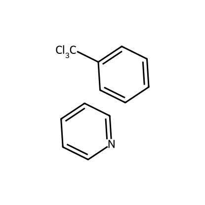 ClC(Cl)(Cl)c1ccccc1.c1ccncc1